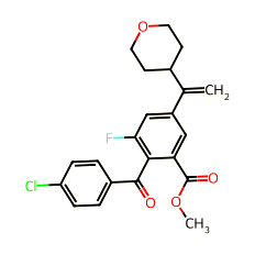 C=C(c1cc(F)c(C(=O)c2ccc(Cl)cc2)c(C(=O)OC)c1)C1CCOCC1